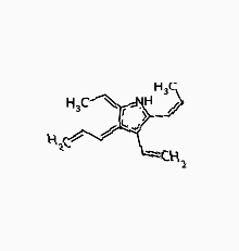 C=C/C=c1/c(C=C)c(/C=C\C)[nH]/c1=C/C